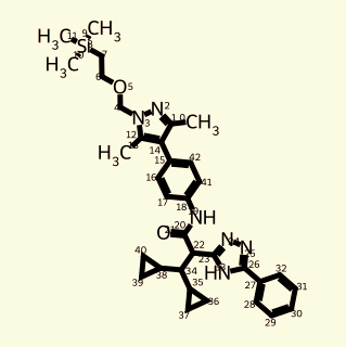 Cc1nn(COCC[Si](C)(C)C)c(C)c1-c1ccc(NC(=O)C(c2nnc(-c3ccccc3)[nH]2)C(C2CC2)C2CC2)cc1